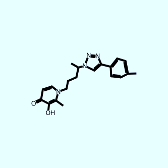 Cc1ccc(-c2cn(C(C)CCCn3ccc(=O)c(O)c3C)nn2)cc1